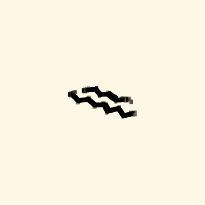 C/C=C/CCCl.ClCC/C=C/CCCCl